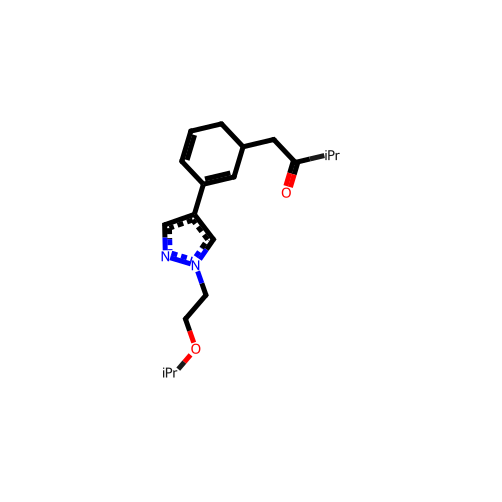 CC(C)OCCn1cc(C2=CC(CC(=O)C(C)C)CC=C2)cn1